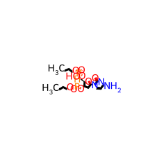 CCCCOOPO[C@H]1C[C@H](n2ccc(N)nc2=O)O[C@@H]1COP(=O)(O)OCCCC